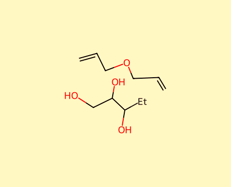 C=CCOCC=C.CCC(O)C(O)CO